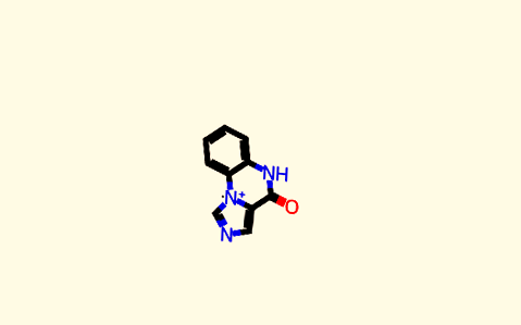 O=C1Nc2ccccc2[N+]2C=NC=C12